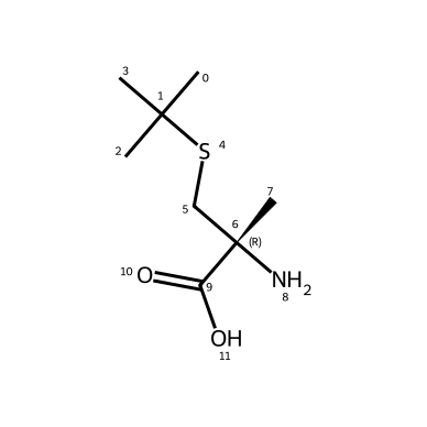 CC(C)(C)SC[C@](C)(N)C(=O)O